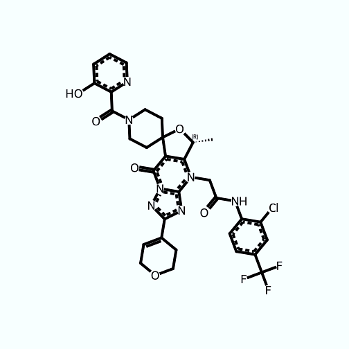 C[C@H]1OC2(CCN(C(=O)c3ncccc3O)CC2)c2c1n(CC(=O)Nc1ccc(C(F)(F)F)cc1Cl)c1nc(C3=CCOCC3)nn1c2=O